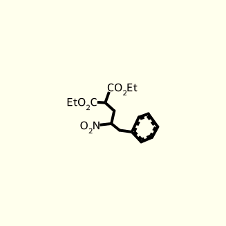 CCOC(=O)C(CC(Cc1ccccc1)[N+](=O)[O-])C(=O)OCC